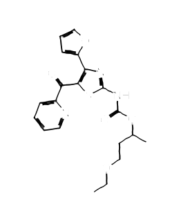 CCOCCC(C)OC(=O)Nc1nc(-c2ccco2)c(C(=O)c2ccccn2)s1